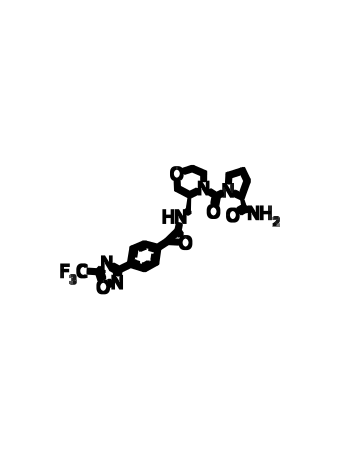 NC(=O)[C@@H]1CCCN1C(=O)N1CCOC[C@@H]1CNC1OC1c1ccc(-c2noc(C(F)(F)F)n2)cc1